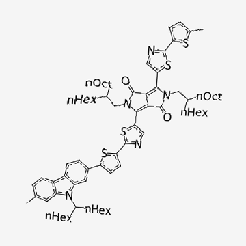 CCCCCCCCC(CCCCCC)CN1C(=O)C2=C(c3cnc(-c4ccc(-c5ccc6c7ccc(C)cc7n(C(CCCCCC)CCCCCC)c6c5)s4)s3)N(CC(CCCCCC)CCCCCCCC)C(=O)C2=C1c1cnc(-c2ccc(C)s2)s1